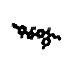 COCCN(C(=O)c1ccc(-n2ncc(-c3ccc(C#N)cc3C)c2O)nc1)C1CCN(C)CC1